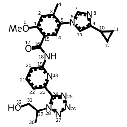 COc1cc(C)c(-n2cnc(C3CC3)c2)cc1C(=O)Nc1cccc(-c2nnnn2C(C)CO)n1